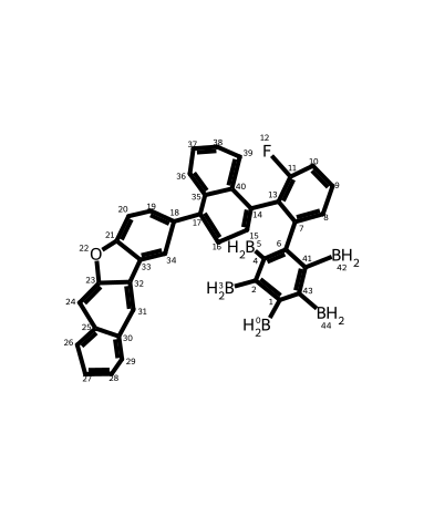 Bc1c(B)c(B)c(-c2cccc(F)c2-c2ccc(-c3ccc4oc5cc6ccccc6cc5c4c3)c3ccccc23)c(B)c1B